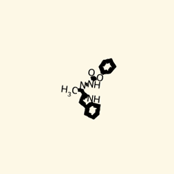 C/C(=N/NC(=O)Oc1ccccc1)c1cc2ccccc2[nH]1